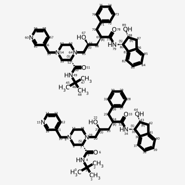 CC(C)(C)NC(=O)[C@@H]1CN(Cc2cccnc2)CCN1C[C@@H](O)C[C@@H](Cc1ccccc1)C(=O)N[C@H]1c2ccccc2C[C@H]1O.CC(C)(C)NC(=O)[C@@H]1CN(Cc2cccnc2)CCN1C[C@@H](O)C[C@@H](Cc1ccccc1)C(=O)N[C@H]1c2ccccc2C[C@H]1O